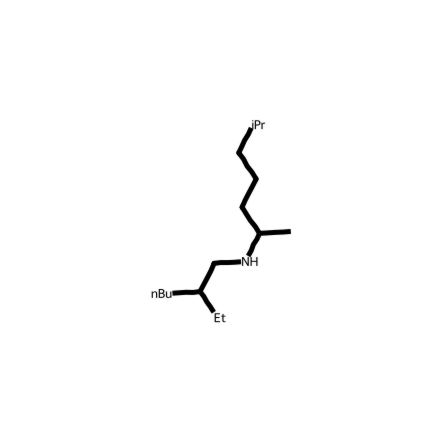 CCCCC(CC)CNC(C)CCCC(C)C